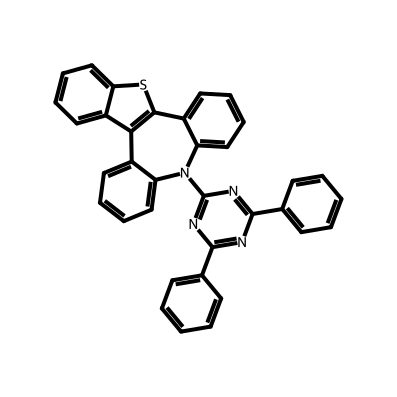 c1ccc(-c2nc(-c3ccccc3)nc(N3c4ccccc4-c4sc5ccccc5c4-c4ccccc43)n2)cc1